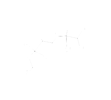 CC(C)C(C)(C)OCCC(C)(C)OCO